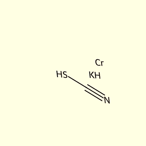 N#CS.[Cr].[KH]